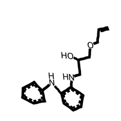 C=CCOCC(O)CNc1ccccc1Nc1ccccc1